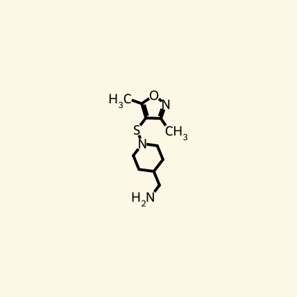 Cc1noc(C)c1SN1CCC(CN)CC1